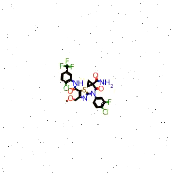 COCc1nc(N(C(=O)C2(C(N)=O)CC2)c2ccc(Cl)c(F)c2)sc1C(=O)Nc1cc(C(F)(F)F)ccc1Cl